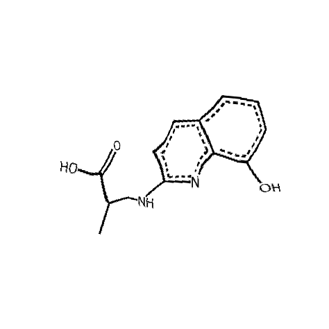 CC(Nc1ccc2cccc(O)c2n1)C(=O)O